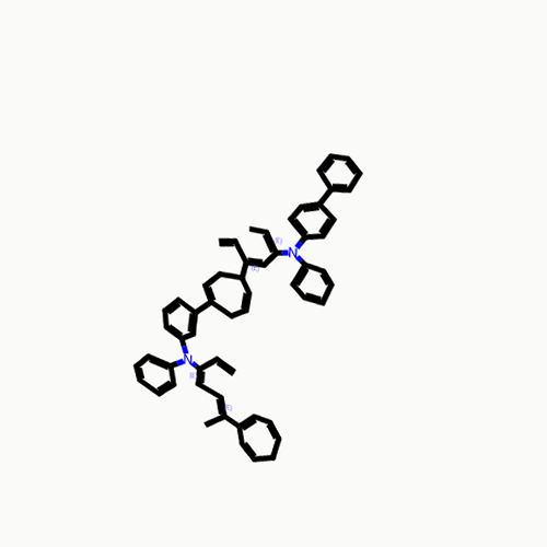 C=C/C(=C\C(=C/C)N(c1ccccc1)c1ccc(-c2ccccc2)cc1)C1C=CCC(c2cccc(N(/C(C=C)=C/C=C(\C)C3=CC=CCC=C3)c3ccccc3)c2)=CC1